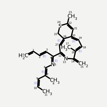 C=C/C=C/C(=N\C=C(C)\C=C/C)C1=NC(=C)/C(C)=C/C=C2/C=C(C)SC/C2=C/1